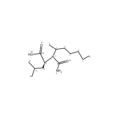 CCCCCC(C)N(C(N)=O)[C@@H](CC(C)C)C(=O)O